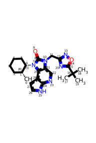 C[C@@H]1CCCC[C@@H]1n1c(=O)n(Cc2noc(C(C)(C)C)n2)c2cnc3[nH]ccc3c21